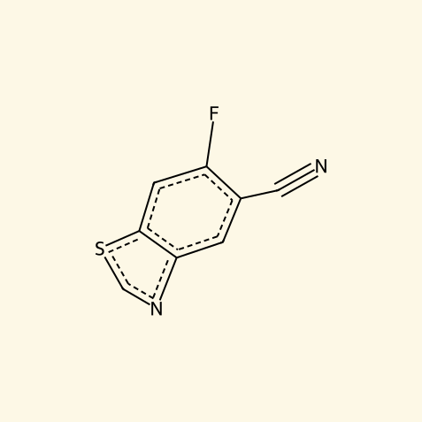 N#Cc1cc2ncsc2cc1F